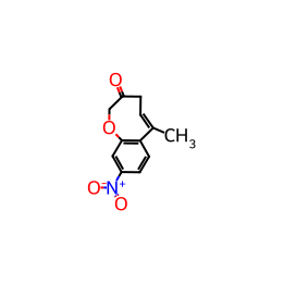 C/C1=C\CC(=O)COc2cc([N+](=O)[O-])ccc21